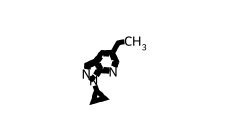 CCc1cnc2c(cnn2C2CC2)c1